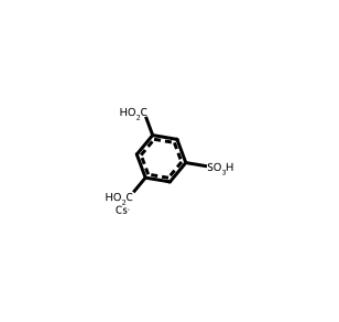 O=C(O)c1cc(C(=O)O)cc(S(=O)(=O)O)c1.[Cs]